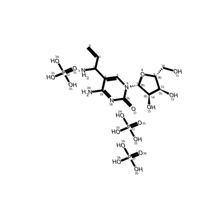 C=CC(N)c1cn([C@@H]2O[C@H](CO)[C@@H](O)[C@H]2O)c(=O)nc1N.O=P(O)(O)O.O=P(O)(O)O.O=P(O)(O)O